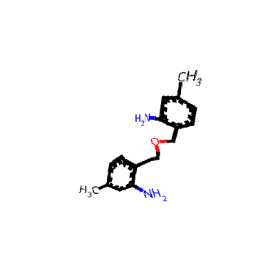 Cc1ccc(COCc2ccc(C)cc2N)c(N)c1